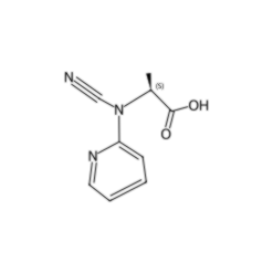 C[C@@H](C(=O)O)N(C#N)c1ccccn1